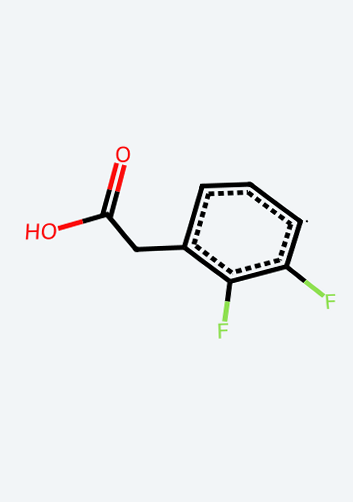 O=C(O)Cc1cc[c]c(F)c1F